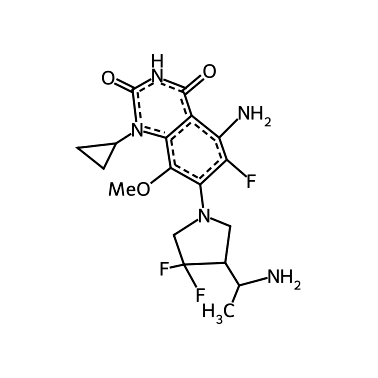 COc1c(N2CC(C(C)N)C(F)(F)C2)c(F)c(N)c2c(=O)[nH]c(=O)n(C3CC3)c12